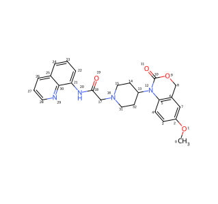 COc1ccc2c(c1)COC(=O)N2C1CCN(CC(=O)Nc2cccc3cccnc23)CC1